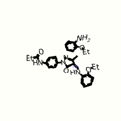 CCOc1ccccc1N.CCOc1ccccc1N/C=C1\C(=O)N(c2ccc(NC(=O)CC)cc2)N=C1C